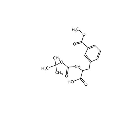 COC(=O)c1cccc(CC(NC(=O)OC(C)(C)C)C(=O)O)c1